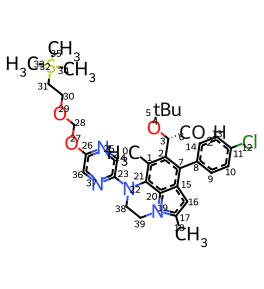 Cc1c([C@H](OC(C)(C)C)C(=O)O)c(-c2ccc(Cl)cc2)c2cc(C)n3c2c1N(c1cnc(OCOCCS(C)(C)C)cn1)CC3